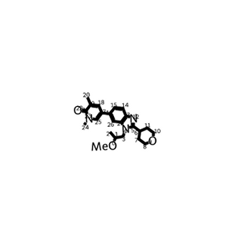 COC(C)Cn1c(C2CCOCC2)nc2ccc(-c3cc(C)c(=O)n(C)c3)cc21